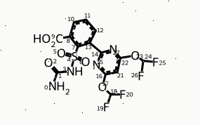 NC(=O)NS(=O)(=O)c1c(C(=O)O)cccc1-c1nc(OC(F)F)cc(OC(F)F)n1